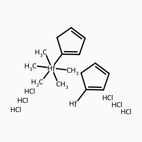 Cl.Cl.Cl.Cl.Cl.Cl.[CH3][Hf]([CH3])([CH3])([CH3])([CH3])[C]1=CC=CC1.[Hf][C]1=CC=CC1